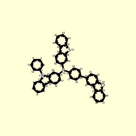 c1ccc(-n2c3ccccc3c3ccc(N(c4ccc(-c5ccc6oc7ccccc7c6c5)cc4)c4ccc5c(c4)sc4ccccc45)cc32)cc1